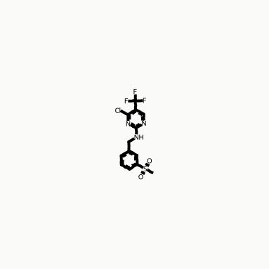 CS(=O)(=O)c1cccc(CNc2ncc(C(F)(F)F)c(Cl)n2)c1